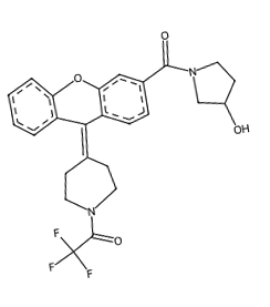 O=C(c1ccc2c(c1)Oc1ccccc1C2=C1CCN(C(=O)C(F)(F)F)CC1)N1CCC(O)C1